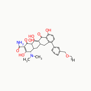 [3H]COCc1cccc(-c2ccc(O)c3c2CC2CC4[C@H](N(C)C)C(O)=C(C(N)=O)C(=O)[C@@]4(O)C(O)=C2C3=O)c1